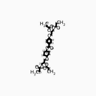 C=CC(=O)OCC(COc1ccc(C(=O)OC2CCC(OCC(COC(=O)C=C)OC(=O)C=C)CC2)cc1)OC(=O)C=C